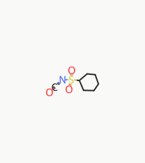 O=C=NS(=O)(=O)C1CCCCC1